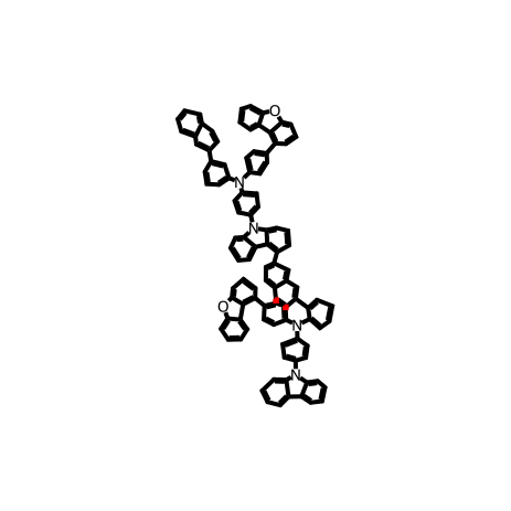 c1cc(-c2ccc3ccccc3c2)cc(N(c2ccc(-c3cccc4oc5ccccc5c34)cc2)c2ccc(-n3c4ccccc4c4c(-c5ccc6ccc(-c7ccccc7N(c7ccc(-c8cccc9oc%10ccccc%10c89)cc7)c7ccc(-n8c9ccccc9c9ccccc98)cc7)cc6c5)cccc43)cc2)c1